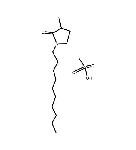 CCCCCCCCCCN1CCC(C)C1=O.CS(=O)(=O)O